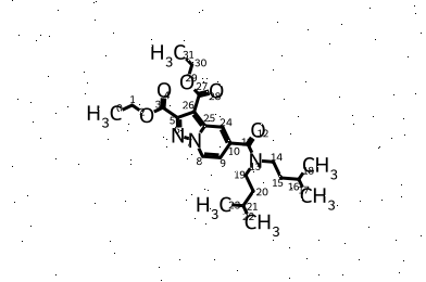 CCOC(=O)c1nn2ccc(C(=O)N(CCC(C)C)CCC(C)C)cc2c1C(=O)OCC